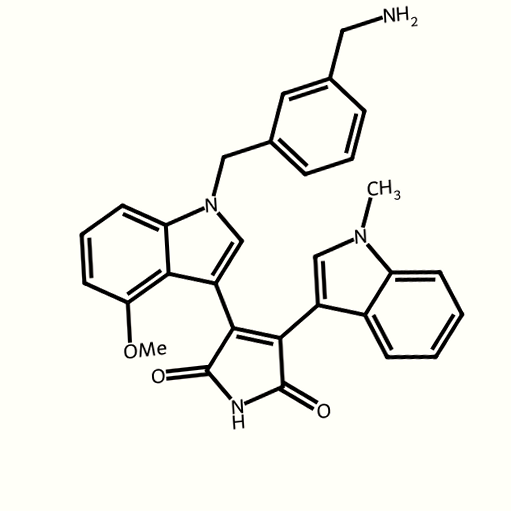 COc1cccc2c1c(C1=C(c3cn(C)c4ccccc34)C(=O)NC1=O)cn2Cc1cccc(CN)c1